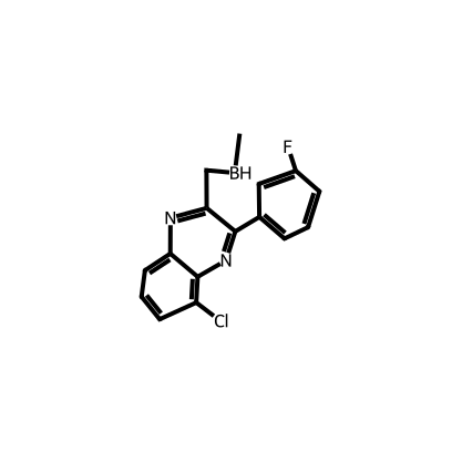 CBCc1nc2cccc(Cl)c2nc1-c1cccc(F)c1